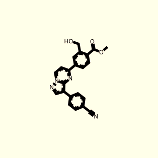 COC(=O)c1ccc(-c2ccn3ncc(-c4ccc(C#N)cc4)c3n2)cc1CO